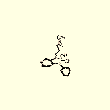 CNCCCN1c2cnccc2N(c2ccccc2)S1(O)O